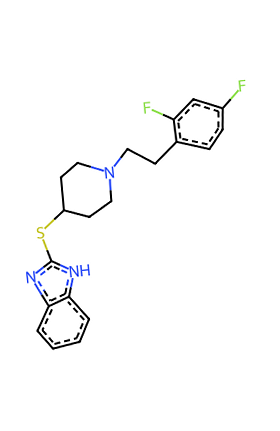 Fc1ccc(CCN2CCC(Sc3nc4ccccc4[nH]3)CC2)c(F)c1